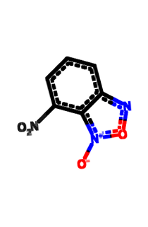 O=[N+]([O-])c1cccc2no[n+]([O-])c12